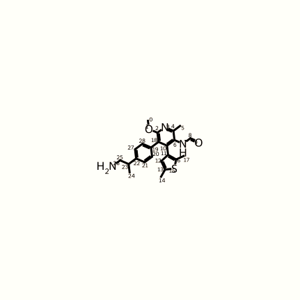 COc1nc(C)c(NC=O)c(-c2cc(C)sc2C)c1-c1ccc(C(C)CN)cc1